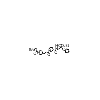 CCOC(=O)[C@H](CCc1ccccc1)CNC(=O)[C@@H]1CCCN(C(=O)CCC2CCN(C(=O)OC(C)(C)C)CC2)C1